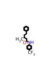 C[C@H](CCc1ccccc1)CC(=O)Nc1ccc(C(F)(F)F)cc1